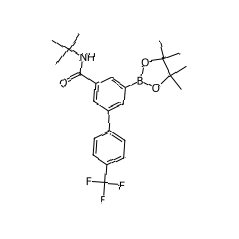 CC(C)(C)NC(=O)c1cc(B2OC(C)(C)C(C)(C)O2)cc(-c2ccc(C(F)(F)F)cc2)c1